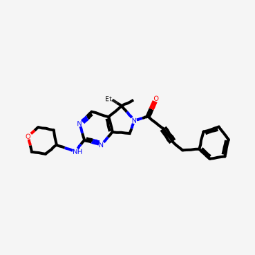 CCC1(C)c2cnc(NC3CCOCC3)nc2CN1C(=O)C#CCc1ccccc1